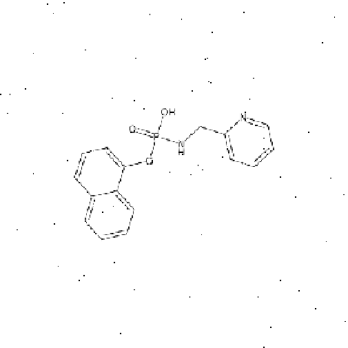 O=P(O)(NCc1ccccn1)Oc1cccc2ccccc12